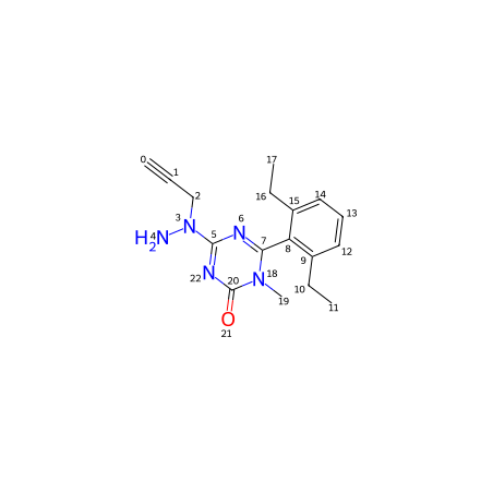 C#CCN(N)c1nc(-c2c(CC)cccc2CC)n(C)c(=O)n1